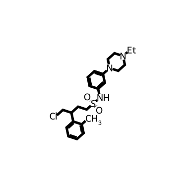 CCN1CCN(c2cccc(NS(=O)(=O)CCC(CCl)c3ccccc3C)c2)CC1